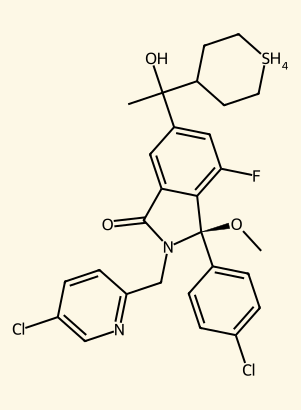 CO[C@]1(c2ccc(Cl)cc2)c2c(F)cc(C(C)(O)C3CC[SH4]CC3)cc2C(=O)N1Cc1ccc(Cl)cn1